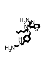 CCCCc1nc2c(N)nc3ccsc3c2n1Cc1ccc(CNCCN)cc1